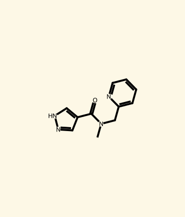 CN(Cc1ccccn1)C(=O)c1cn[nH]c1